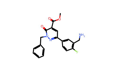 COC(=O)c1cc(-c2ccc(F)c(CN)c2)nn(Cc2ccccc2)c1=O